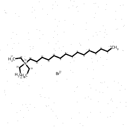 CCCCCCCCCCCCCCC[N+](CC)(CC)CC.[Br-]